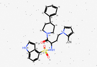 N#Cc1cccn1CCC(NS(=O)(=O)c1cccc2[nH]ccc12)C(=O)N1CCC(c2ccccc2)CC1